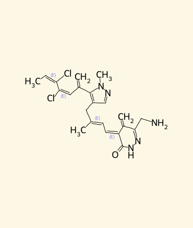 C=C(/C=C(Cl)\C(Cl)=C/C)c1c(C/C(C)=C/C=c2/c(=O)[nH]nc(CN)c2=C)cnn1C